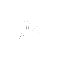 C=CC(=O)N1CCC[C@@H](n2c(NC(=O)c3ccc(C(C)(F)F)s3)nc3ccccc32)CC1